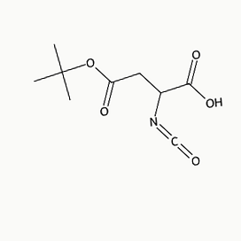 CC(C)(C)OC(=O)CC(N=C=O)C(=O)O